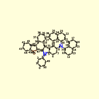 c1ccc(-n2c3ccc(N(c4cccc5ccccc45)c4cccc5ccccc45)cc3c3c4ccccc4c4c5ccccc5sc4c32)cc1